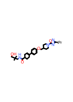 CC(C)c1noc(N2CCC(COc3ccc(C4=CCC(C(=O)NCC(C)(C)CO)CC4)cc3)CC2)n1